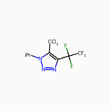 CC(C)n1nnc(C(F)(F)C(F)(F)F)c1C(Cl)(Cl)Cl